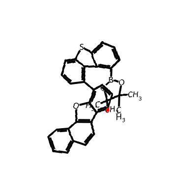 CC1(C)OB(c2cccc3sc4cccc(-c5cccc6c5oc5c7ccccc7ccc65)c4c23)OC1(C)C